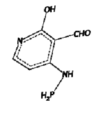 O=Cc1c(NP)ccnc1O